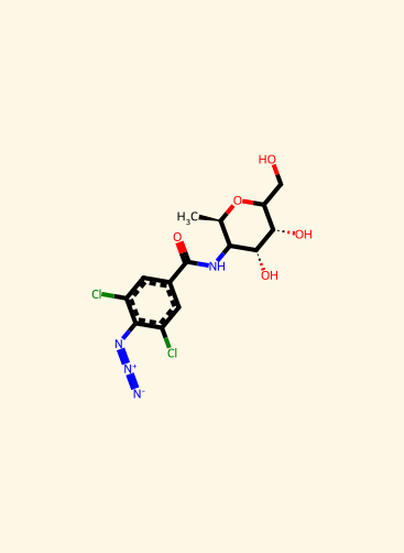 C[C@H]1OC(CO)[C@H](O)[C@H](O)C1NC(=O)c1cc(Cl)c(N=[N+]=[N-])c(Cl)c1